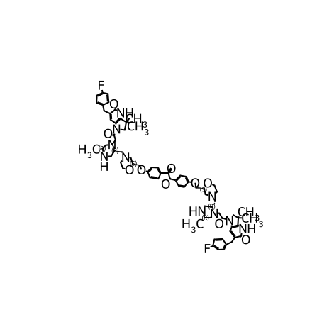 C[C@@H]1CN(CC(=O)N2CC(C)(C)c3[nH]c(=O)c(Cc4ccc(F)cc4)cc32)[C@@H](CN2CCO[C@H](COc3ccc(C(=O)C(=O)c4ccc(OC[C@@H]5CN(C[C@H]6CN[C@H](C)CN6CC(=O)N6CC(C)(C)c7[nH]c(=O)c(Cc8ccc(F)cc8)cc76)CCO5)cc4)cc3)C2)CN1